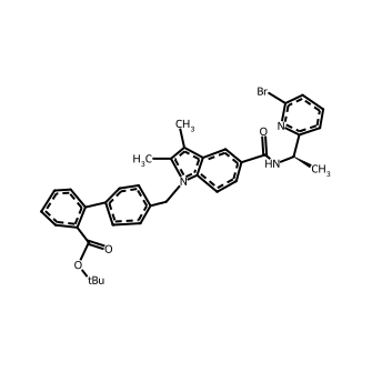 Cc1c(C)n(Cc2ccc(-c3ccccc3C(=O)OC(C)(C)C)cc2)c2ccc(C(=O)N[C@H](C)c3cccc(Br)n3)cc12